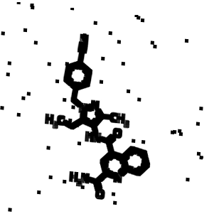 CCc1c(NC(=O)c2cc(C(N)=O)nc3ccccc23)c(C)nn1Cc1ccc(C#N)cc1